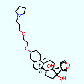 C[C@]12CCC(OCCOCCCN3CCCC3)CC1CC[C@@H]1[C@H]2CC[C@]2(C)C(O)(c3ccoc3)CC[C@@]12O